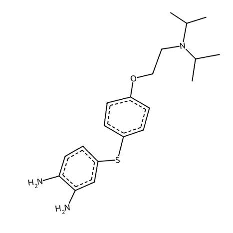 CC(C)N(CCOc1ccc(Sc2ccc(N)c(N)c2)cc1)C(C)C